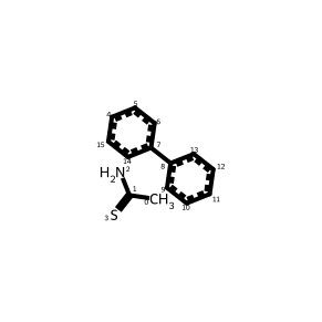 CC(N)=S.c1ccc(-c2ccccc2)cc1